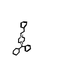 c1ccc(CCN2CCN(C(c3ccccc3)C3CCCCC3)CC2)cc1